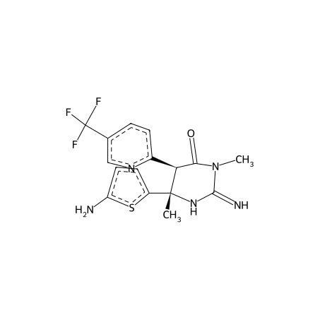 CN1C(=N)N[C@](C)(c2ccc(N)s2)[C@@H](c2ccc(C(F)(F)F)cn2)C1=O